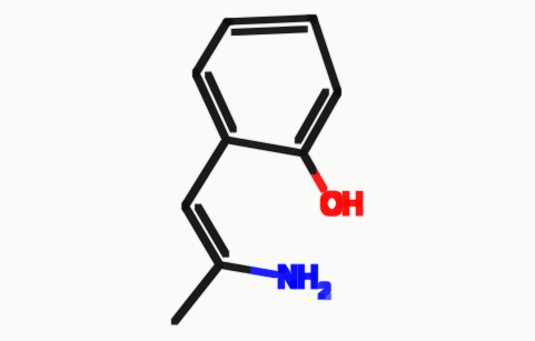 C/C(N)=C/c1ccccc1O